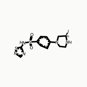 O=S(=O)(Nc1ncns1)c1ccc(N2CCN[C@H](I)C2)cc1